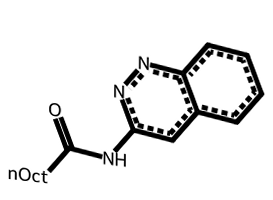 CCCCCCCCC(=O)Nc1cc2ccccc2nn1